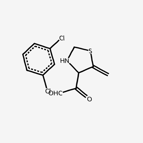 C=C1SCNC1C(=O)C=O.Clc1cccc(Cl)c1